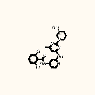 Cc1cc(Nc2cc(NC(=O)c3c(Cl)cccc3Cl)ccn2)nc(N2CCC[C@@H](O)C2)n1